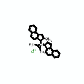 CC1=Cc2c(ccc3ccccc23)[CH]1[Zr+2]1([CH]2C(C)=Cc3c2ccc2ccccc32)[CH](C)[CH]1C.[Cl-].[Cl-]